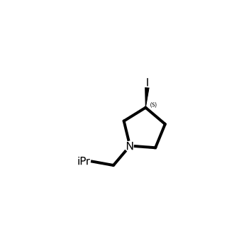 CC(C)CN1CC[C@H](I)C1